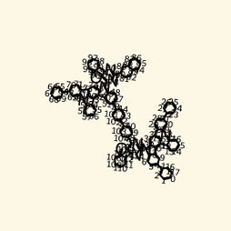 c1ccc(-c2ccc3c(c2)c2c4c5ccccc5n5c6cc(-c7ccccc7)ccc6c(cc2n3-c2nc(-c3ccc(-c6ccc(-c7ccc8c(c7)c7c9c%10ccccc%10n%10c%11cc(-c%12ccccc%12)ccc%11c(cc7n8-c7nc(-c8ccc%11ccccc%11c8)nc8c7oc7ccccc78)c9%10)cc6)cc3)c3oc6ccccc6c3n2)c45)cc1